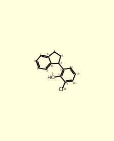 Oc1c(C2CCc3ccccc32)[c]ccc1Cl